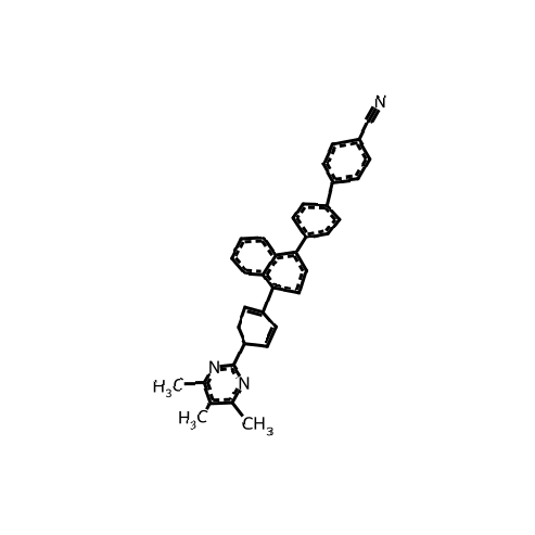 Cc1nc(C2C=CC(c3ccc(-c4ccc(-c5ccc(C#N)cc5)cc4)c4ccccc34)=CC2)nc(C)c1C